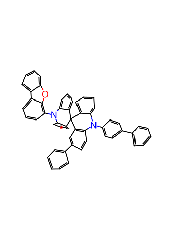 c1ccc(-c2ccc(N3c4ccccc4C4(c5cc(-c6ccccc6)ccc53)c3ccccc3N(c3cccc5c3oc3ccccc35)c3ccccc34)cc2)cc1